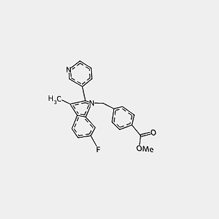 COC(=O)c1ccc(Cn2c(-c3cccnc3)c(C)c3ccc(F)cc32)cc1